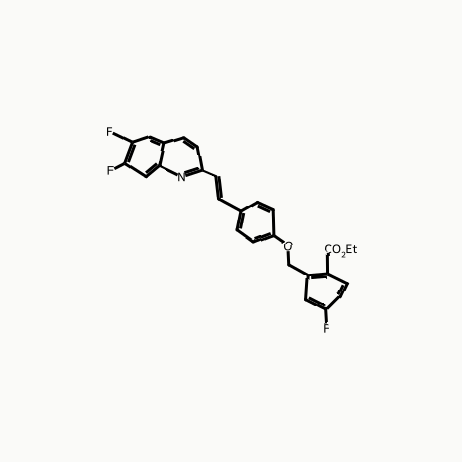 CCOC(=O)c1ccc(F)cc1COc1ccc(C=Cc2ccc3cc(F)c(F)cc3n2)cc1